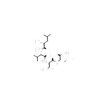 CC(C)C[C@H](N)C(=O)N[C@H](C(=O)N[C@H](C(=O)N[C@@H](CO)C(=O)O)[C@@H](C)O)C(C)C